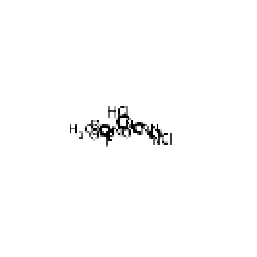 CS(=O)(=O)c1ccc(N[C@H]2CCCCN(C3CCN(c4cnc(Cl)cn4)CC3)C2=O)c(F)c1.Cl